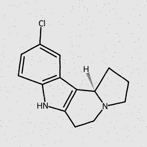 Clc1ccc2[nH]c3c(c2c1)[C@H]1CCCN1CC3